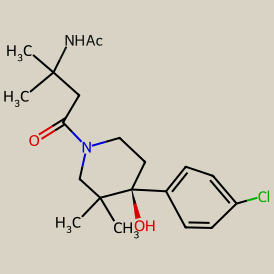 CC(=O)NC(C)(C)CC(=O)N1CC[C@](O)(c2ccc(Cl)cc2)C(C)(C)C1